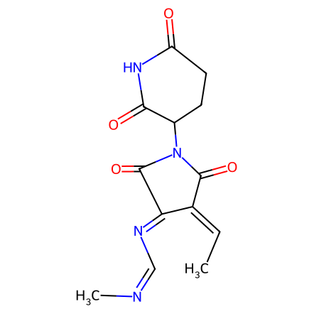 C/C=C1/C(=O)N(C2CCC(=O)NC2=O)C(=O)/C1=N/C=N\C